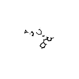 Cc1ccc2c(-c3ccc(F)cc3F)nc([C@@H]3C[C@H](C)O[C@@H](c4cnn(C5CC5)c4)C3)nc2n1